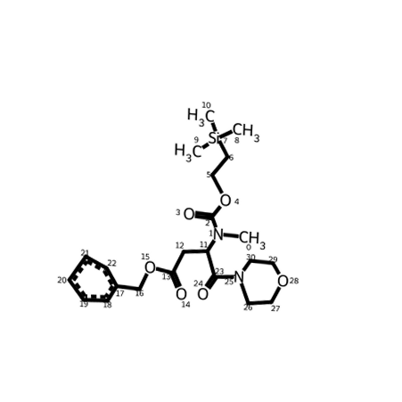 CN(C(=O)OCC[Si](C)(C)C)C(CC(=O)OCc1ccccc1)C(=O)N1CCOCC1